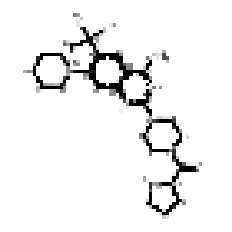 Nc1nc(N2CCN(C(=O)C3CCCO3)CC2)nc2cc(N3CCCCC3)c(C(F)(F)F)cc12